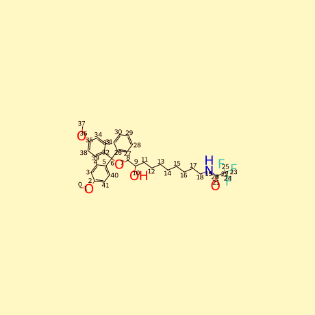 COc1ccc(C(OCC(O)CCCCCCCCNC(=O)C(F)(F)F)(c2ccccc2)c2ccc(OC)cc2)cc1